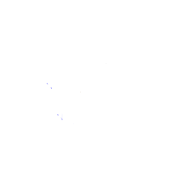 Cc1nc(N)sc1CC(C)(C)C